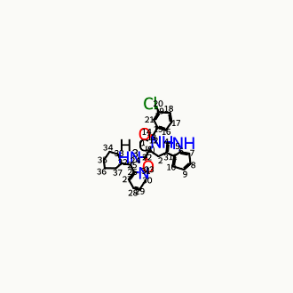 C[C@@](Cc1c[nH]c2ccccc12)(NC(=O)c1cccc(Cl)c1)C(=O)NC(c1ccccn1)C1CCCCC1